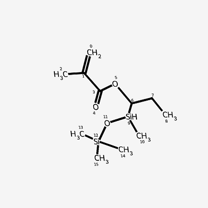 C=C(C)C(=O)OC(CC)[SiH](C)O[Si](C)(C)C